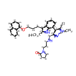 CCc1c(-c2cccc3c(CCCOc4cccc5ccccc45)c(C(=O)O)[nH]c23)c(CNCCCN2CCCC2=O)nn1C